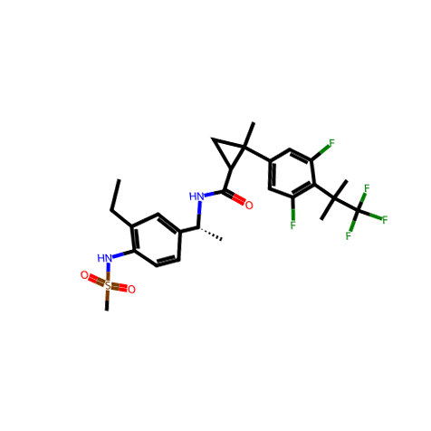 CCc1cc([C@@H](C)NC(=O)C2CC2(C)c2cc(F)c(C(C)(C)C(F)(F)F)c(F)c2)ccc1NS(C)(=O)=O